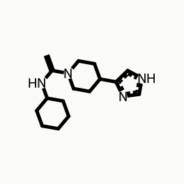 C=C(NC1CCCCC1)N1CCC(c2c[nH]cn2)CC1